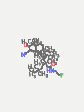 CC=C(C)/C=C1/[C@@]2(C)C=C(C#N)C(=O)C(C)(C)[C@@H]2CC[C@@]1(C)[C@@](C)(CC)CC[C@](C)(CCC(C)(C)CC)CC(=O)NCCF